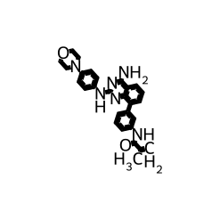 C=C(C)C(=O)Nc1cccc(-c2cccc3c(N)nc(Nc4ccc(N5CCOCC5)cc4)nc23)c1